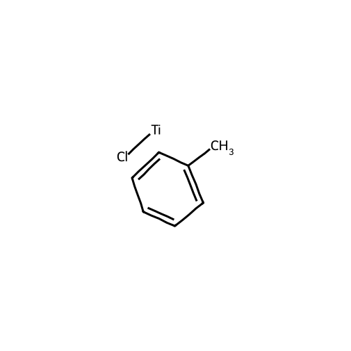 Cc1ccccc1.[Cl][Ti]